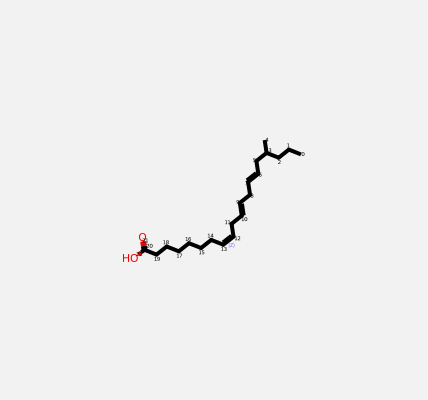 CCCC(C)CC=CCC=CC/C=C\CCCCCCC(=O)O